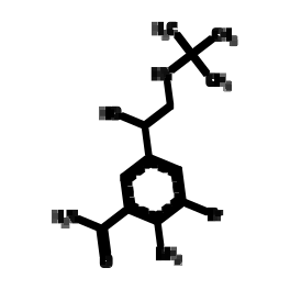 CC(C)(C)NCC(O)c1cc(Br)c(N)c(C(N)=O)c1